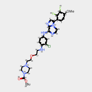 COc1ccc(-c2cnc3c(Nc4ccc(NCCOCCN5CCN(C(=O)OC(C)(C)C)CC5)c(Cl)c4)nccn23)c(F)c1F